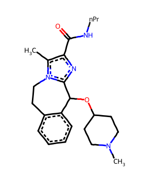 CCCNC(=O)c1nc2n(c1C)CCc1ccccc1C2OC1CCN(C)CC1